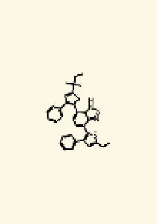 CCc1cc(-c2ccccc2)c(C2=CC=C(c3sc(C(C)(C)CC)cc3-c3ccccc3)C3NSN=C23)s1